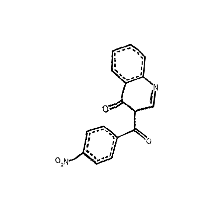 O=C(c1ccc([N+](=O)[O-])cc1)C1C=Nc2ccccc2C1=O